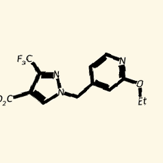 CCOc1cc(Cn2cc(C(=O)O)c(C(F)(F)F)n2)ccn1